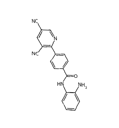 N#Cc1cnc(-c2ccc(C(=O)Nc3ccccc3N)cc2)c(C#N)c1